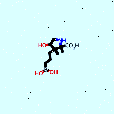 CC1(C(=O)O)NCC(O)C1(C)CCCB(O)O